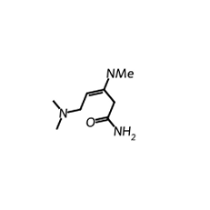 CNC(=CCN(C)C)CC(N)=O